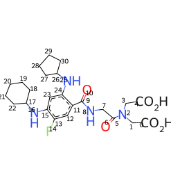 O=C(O)CN(CC(=O)O)C(=O)CNC(=O)c1cc(F)c(NC2CCCCC2)cc1NC1CCCC1